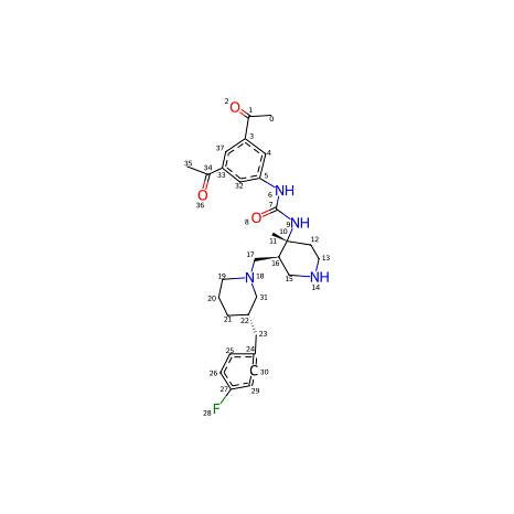 CC(=O)c1cc(NC(=O)N[C@]2(C)CCNC[C@H]2CN2CCC[C@@H](Cc3ccc(F)cc3)C2)cc(C(C)=O)c1